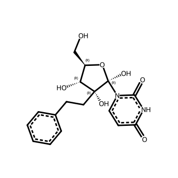 O=c1ccn([C@]2(O)O[C@H](CO)[C@@H](O)[C@]2(O)CCc2ccccc2)c(=O)[nH]1